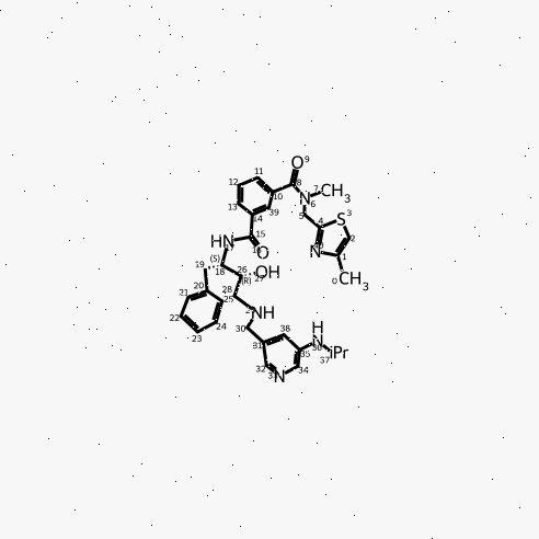 Cc1csc(CN(C)C(=O)c2cccc(C(=O)N[C@@H](Cc3ccccc3)[C@H](O)CNCc3cncc(NC(C)C)c3)c2)n1